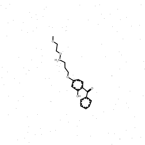 COCCO[SiH2]CCCOc1ccc(C(=O)c2ccccc2)c(O)c1